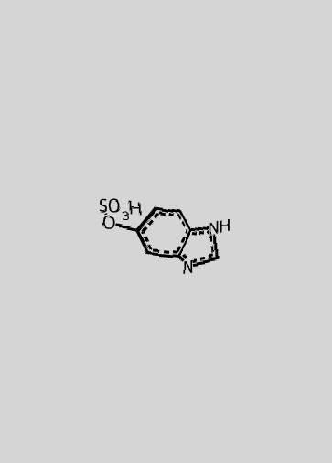 O=S(=O)(O)Oc1ccc2[nH]cnc2c1